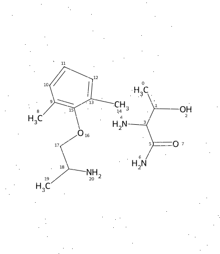 CC(O)C(N)C(N)=O.Cc1cccc(C)c1OCC(C)N